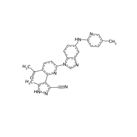 CC(=O)c1ccc(-n2cnc3cc(Nc4ccc(C)cn4)ccc32)nc1-c1c(C#N)n[nH]c1C